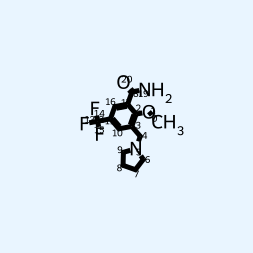 COc1c(CN2CCCC2)cc(C(F)(F)F)cc1C(N)=O